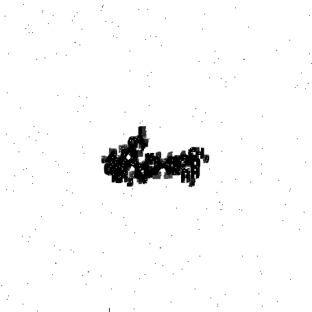 CC(C)(O)Cn1cc(-c2cnc3c(-c4cc(OC(F)F)cc(C5(S(N)(=O)=O)CC5)c4)cnn3c2)cn1